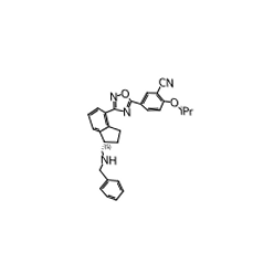 CC(C)Oc1ccc(-c2nc(-c3cccc4c3CC[C@@H]4CNCc3ccccc3)no2)cc1C#N